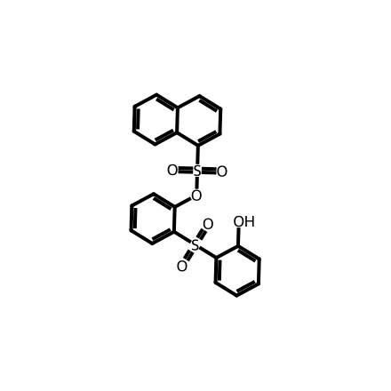 O=S(=O)(Oc1ccccc1S(=O)(=O)c1ccccc1O)c1cccc2ccccc12